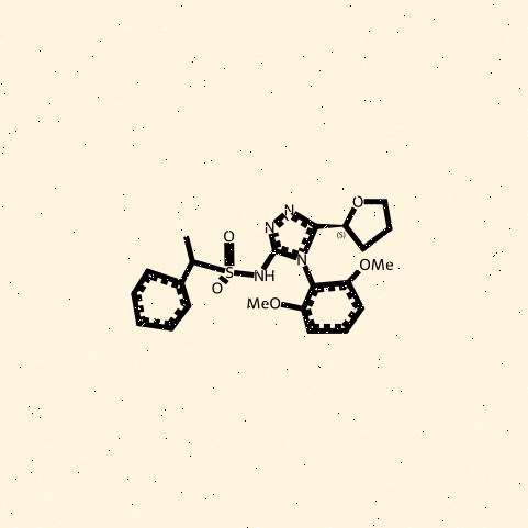 COc1cccc(OC)c1-n1c(NS(=O)(=O)C(C)c2ccccc2)nnc1[C@@H]1CCCO1